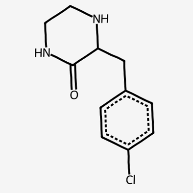 O=C1NCCNC1Cc1ccc(Cl)cc1